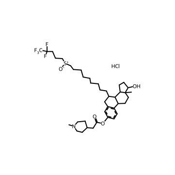 CN1CCC(CC(=O)Oc2ccc3c(c2)CC(CCCCCCCCC[S+]([O-])CCCC(F)(F)C(F)(F)F)C2C3CCC3(C)C(O)CCC23)CC1.Cl